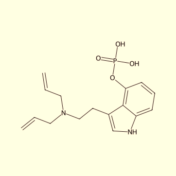 C=CCN(CC=C)CCc1c[nH]c2cccc(OP(=O)(O)O)c12